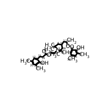 C=C(CC1CC(C)(C)N(CCOC(=O)CCc2cc(C)cc(C)c2O)C(C)(C)C1)OOc1cc(C)cc(C)c1O